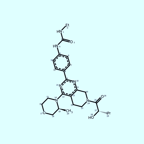 CCNC(=O)Nc1ccc(-c2nc3c(c(N4CCOC[C@@H]4C)n2)CCN(C(=O)[C@@H](O)C(C)C)C3)cc1